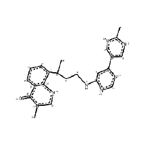 Cc1ncc(-c2cc(NCCC(C)c3cccc4c(=O)n(C)cnc34)ncn2)cn1